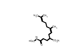 CCCCCCCCNC(=O)CCC(CC=C(C)CCC=C(C)C)C(=O)O